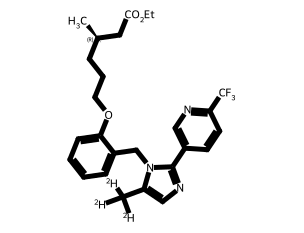 [2H]C([2H])([2H])c1cnc(-c2ccc(C(F)(F)F)nc2)n1Cc1ccccc1OCCC[C@@H](C)CC(=O)OCC